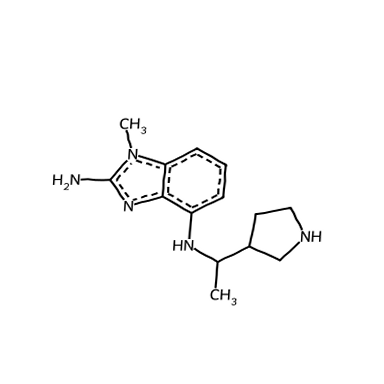 CC(Nc1cccc2c1nc(N)n2C)C1CCNC1